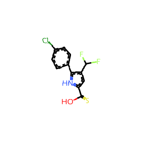 OC(=S)c1cc(C(F)F)c(-c2ccc(Cl)cc2)[nH]1